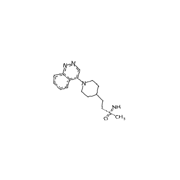 CS(=N)(=O)CCC1CCN(c2cnnc3ccccc23)CC1